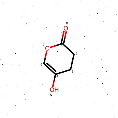 O=C1CCC(O)=CO1